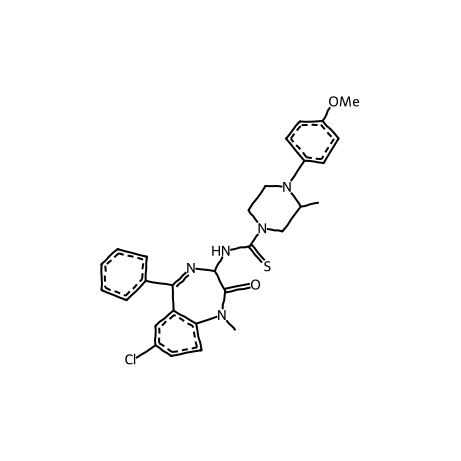 COc1ccc(N2CCN(C(=S)NC3N=C(c4ccccc4)c4cc(Cl)ccc4N(C)C3=O)CC2C)cc1